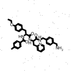 CCOc1ccc(CC(NC(=O)c2ccc(C)cc2)C(=O)NC(Cc2ccccn2)C(=O)NCc2ccc(CN)cc2)cc1